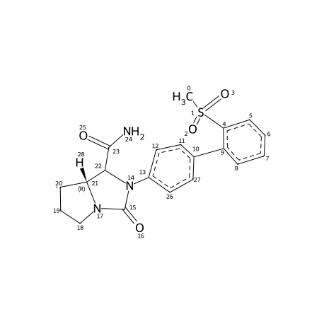 CS(=O)(=O)c1ccccc1-c1ccc(N2C(=O)N3CC[CH][C@@H]3C2C(N)=O)cc1